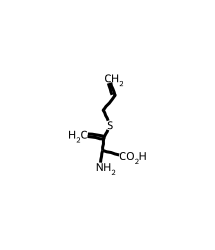 C=CCSC(=C)C(N)C(=O)O